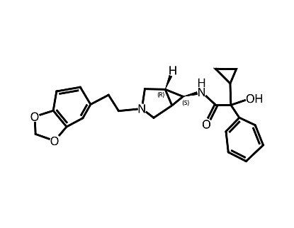 O=C(N[C@H]1C2CN(CCc3ccc4c(c3)OCO4)C[C@@H]21)C(O)(c1ccccc1)C1CC1